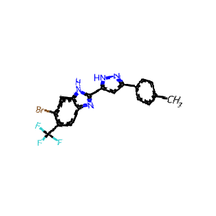 Cc1ccc(-c2cc(-c3nc4cc(C(F)(F)F)c(Br)cc4[nH]3)[nH]n2)cc1